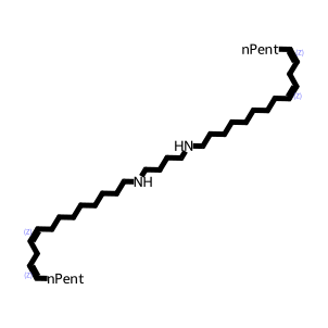 CCCCC/C=C\C/C=C\CCCCCCCCNCCCCNCCCCCCCC/C=C\C/C=C\CCCCC